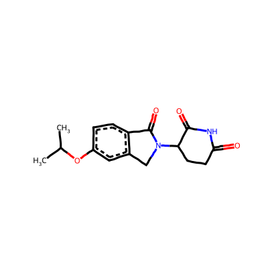 CC(C)Oc1ccc2c(c1)CN(C1CCC(=O)NC1=O)C2=O